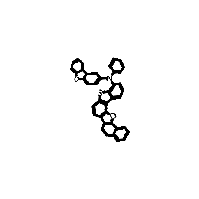 c1ccc(N(c2ccc3oc4ccccc4c3c2)c2cccc3c2sc2ccc4c5ccc6ccccc6c5oc4c23)cc1